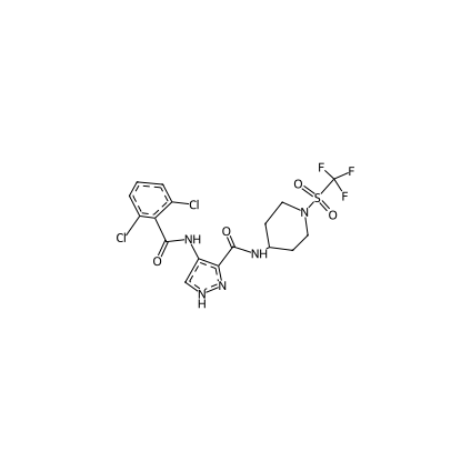 O=C(NC1CCN(S(=O)(=O)C(F)(F)F)CC1)c1n[nH]cc1NC(=O)c1c(Cl)cccc1Cl